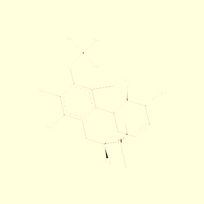 [2H]c1c([2H])c(OC([2H])([2H])[2H])c2c3c1C[C@]1([2H])[C@@H]4C=CC(O)C([2H])(O2)[C@]34CCN1C